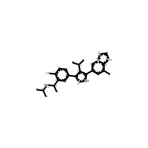 Cc1cc(-c2[nH]nc(-c3ccc(F)c(C(C)NC(C)C)c3)c2C(C)C)cn2ncnc12